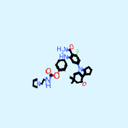 CC1(C)CC(=O)c2c3c(n(-c4cc(F)c(C(N)=O)c(N[C@H]5CC[C@H](OC(=O)NCCN6CCCC6)CC5)c4)c2C1)CCC3